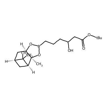 CC(C)(C)OC(=O)CC(O)CCCB1O[C@@H]2C[C@@H]3C[C@@H](C3(C)C)[C@]2(C)O1